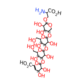 NC(CO[C@@H]1OC[C@H](O[C@@H]2OC(CO)[C@H](O)[C@@H](O[C@@H]3OC(CO)[C@H](O)[C@@H](O[C@@H]4OC(C(=O)O)=C[C@@H](O)C4O)C3O)C2O)[C@@H](O)C1O)C(=O)O